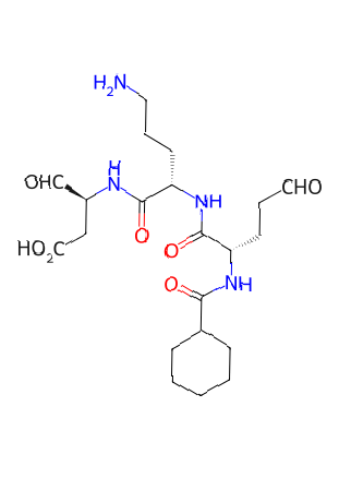 NCCC[C@H](NC(=O)[C@H](CCC=O)NC(=O)C1CCCCC1)C(=O)N[C@H](C=O)CC(=O)O